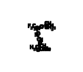 COC(=O)C(C)(C)COc1ccc(-c2ccc(-c3nc(C(F)(F)F)cn3COCCS(C)(C)C)cn2)cn1